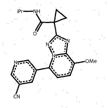 COc1ccc(-c2cncc(C#N)c2)n2nc(C3(C(=O)NC(C)C)CC3)nc12